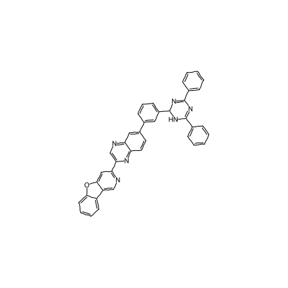 c1ccc(C2=NC(c3cccc(-c4ccc5nc(-c6cc7oc8ccccc8c7cn6)cnc5c4)c3)NC(c3ccccc3)=N2)cc1